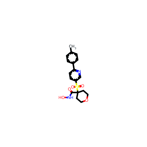 Cc1ccc(-c2ccc(S(=O)(=O)C3(C(=O)NO)CCOCC3)cn2)cc1